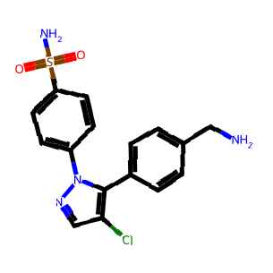 NCc1ccc(-c2c(Cl)cnn2-c2ccc(S(N)(=O)=O)cc2)cc1